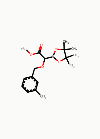 Cc1cccc(COC(B2OC(C)(C)C(C)(C)O2)C(=O)OC(C)(C)C)c1